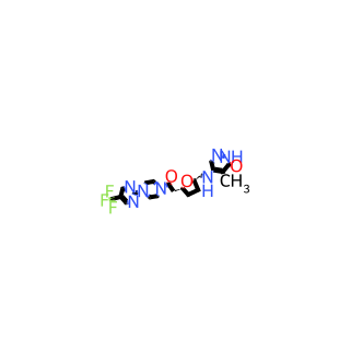 Cc1c(NC[C@@H]2CC[C@H](CC(=O)N3CCN(c4ncc(C(F)(F)F)cn4)CC3)O2)cn[nH]c1=O